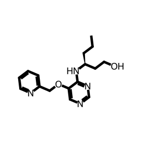 CCC[C@@H](CCO)Nc1ncncc1OCc1ccccn1